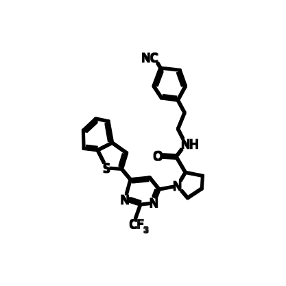 N#Cc1ccc(CCNC(=O)C2CCCN2c2cc(-c3cc4ccccc4s3)nc(C(F)(F)F)n2)cc1